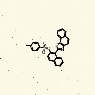 Cc1ccc(S(=O)(=O)Oc2ccc3ccccc3c2-c2nc3ccc4ccccc4c3s2)cc1